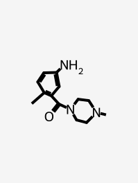 Cc1ccc(N)cc1C(=O)N1CCN(C)CC1